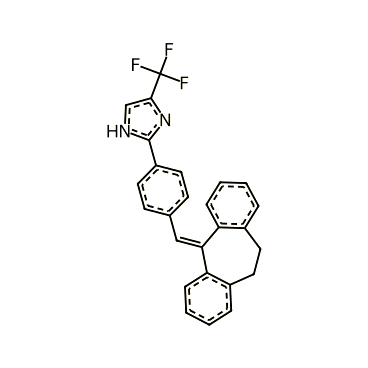 FC(F)(F)c1c[nH]c(-c2ccc(C=C3c4ccccc4CCc4ccccc43)cc2)n1